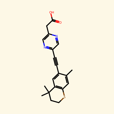 Cc1cc2c(cc1C#Cc1cnc(CC(=O)O)cn1)C(C)(C)CCS2